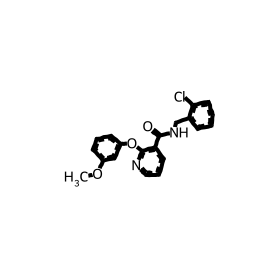 COc1cccc(Oc2ncccc2C(=O)NCc2ccccc2Cl)c1